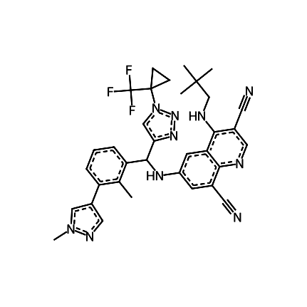 Cc1c(-c2cnn(C)c2)cccc1C(Nc1cc(C#N)c2ncc(C#N)c(NCC(C)(C)C)c2c1)c1cn(C2(C(F)(F)F)CC2)nn1